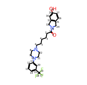 O=C(CCCCCN1CCN(c2cccc(C(F)(F)F)c2)CC1)N1Cc2ccc(O)cc2C1